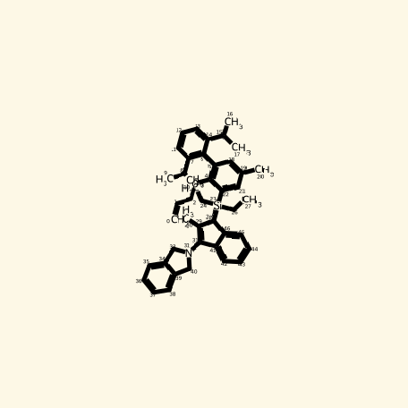 C=CCOc1c(-c2c(C(C)C)cccc2C(C)C)cc(C)cc1[Si](CC)(CC)C1C(C)=C(N2Cc3ccccc3C2)c2ccccc21